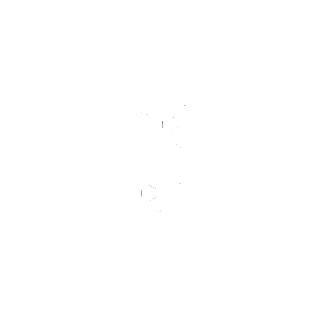 COc1ccc(C(O)CCCCC2NCCc3cc(OC)c(OC)cc32)c(OC)c1